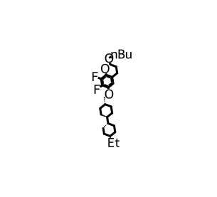 CCCCOC1CCc2cc(OC[C@H]3CC[C@H]([C@H]4CC[C@H](CC)CC4)CC3)c(F)c(F)c2O1